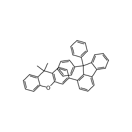 CC1(C)c2ccccc2Oc2cc(-c3cccc4c3C(c3ccccc3)(c3ccccc3)c3ccccc3-4)ccc21